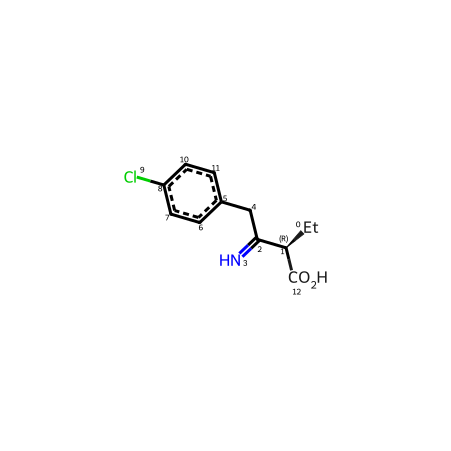 CC[C@H](C(=N)Cc1ccc(Cl)cc1)C(=O)O